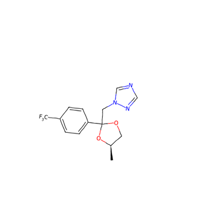 C[C@@H]1COC(Cn2cncn2)(c2ccc(C(F)(F)F)cc2)O1